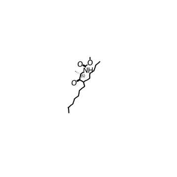 CCCCCCCC(CCCCC)C(=O)[C@H](C)NC(=O)OC